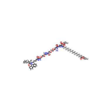 COC(=O)N(C1c2ccccc2-c2ccccc21)[C@@H](CCCCNC(=O)COCCOCCNC(=O)COCCOCCNC(=O)CC[C@H](NC(=O)CCCCCCCCCCCCCCCCC(=O)OC(C)(C)C)C(=O)OC(C)(C)C)C(=O)O